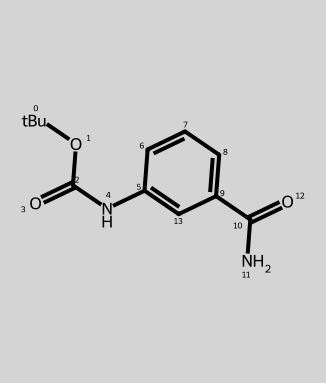 CC(C)(C)OC(=O)Nc1cccc(C(N)=O)c1